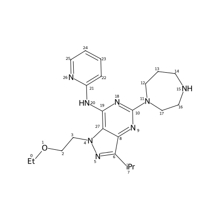 CCOCCn1nc(C(C)C)c2nc(N3CCCNCC3)nc(Nc3ccccn3)c21